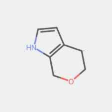 [CH]1COCc2[nH]ccc21